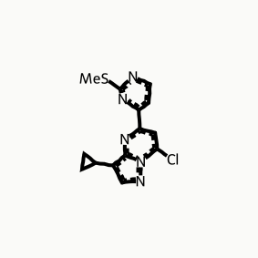 CSc1nccc(-c2cc(Cl)n3ncc(C4CC4)c3n2)n1